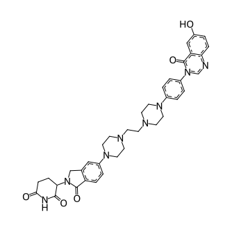 O=C1CCC(N2Cc3cc(N4CCN(CCN5CCN(c6ccc(-n7cnc8ccc(O)cc8c7=O)cc6)CC5)CC4)ccc3C2=O)C(=O)N1